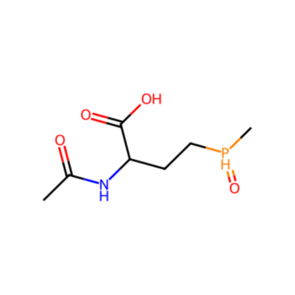 CC(=O)NC(CC[PH](C)=O)C(=O)O